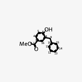 COC(=O)c1ccc(O)c(Cc2ccccc2)c1